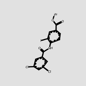 CC(C)OC(=O)c1ccc(NC(=O)c2cc(Cl)cc(Cl)c2)c(I)c1